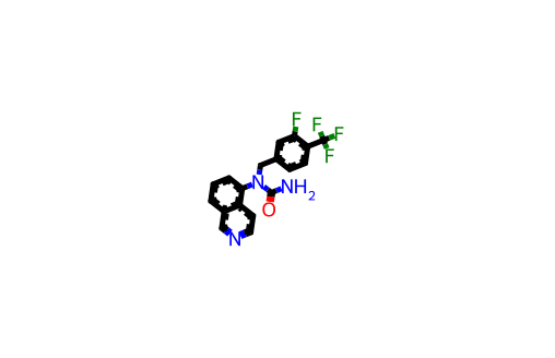 NC(=O)N(Cc1ccc(C(F)(F)F)c(F)c1)c1cccc2cnccc12